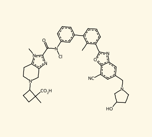 Cc1c(-c2cccc(N(Cl)C(=O)c3nc4c(n3C)CCN(C3CCC3(C)C(=O)O)C4)c2)cccc1-c1nc2cc(CN3CCC(O)C3)cc(C#N)c2o1